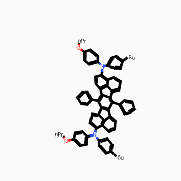 CCCOc1ccc(N(c2ccc(C(C)CC)cc2)c2ccc3c4c(-c5ccccc5)c5c6ccc(N(c7ccc(OCCC)cc7)c7ccc(C(C)CC)cc7)c7cccc(c5c(-c5ccccc5)c4c4cccc2c43)c76)cc1